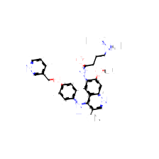 CCOc1cc2ncc(C#N)c(Nc3ccc(OCc4cccnc4)cc3)c2cc1NC(=O)CCCN(C)C